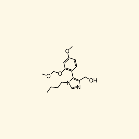 CCCCn1cnc(CO)c1-c1ccc(OC)cc1OCOC